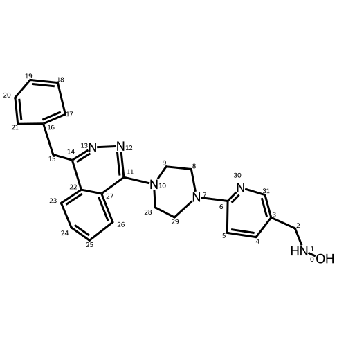 ONCc1ccc(N2CCN(c3nnc(Cc4ccccc4)c4ccccc34)CC2)nc1